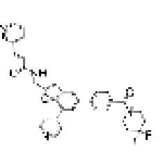 O=C(C=Cc1cccnc1)NCc1cc2cc(-c3ccc(C(=O)N4CCC(F)(F)CC4)cc3)cc(-c3ccncc3)c2o1